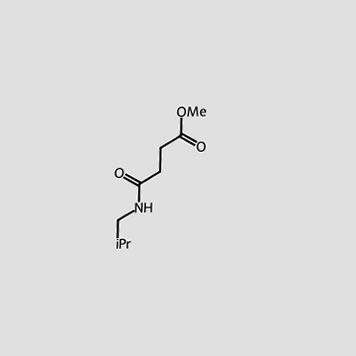 COC(=O)CCC(=O)NCC(C)C